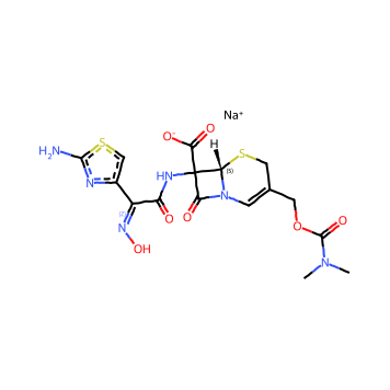 CN(C)C(=O)OCC1=CN2C(=O)C(NC(=O)/C(=N\O)c3csc(N)n3)(C(=O)[O-])[C@@H]2SC1.[Na+]